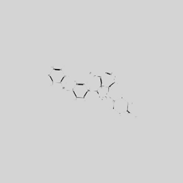 Nc1cncc2c1c(-c1ccc(Oc3ccccc3)cc1)nn2C1CCC(=O)CC1